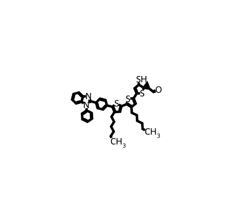 CCCCCCc1cc(-c2sc(C3=CC(S)C4(C=C4C=O)S3)cc2CCCCCC)sc1-c1ccc(-c2nc3ccccc3n2-c2ccccc2)cc1